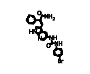 NC(=O)/C(=C/c1c[nH]c2ncc(NC(=O)Nc3ccc(Br)cc3)cc12)c1ccccc1